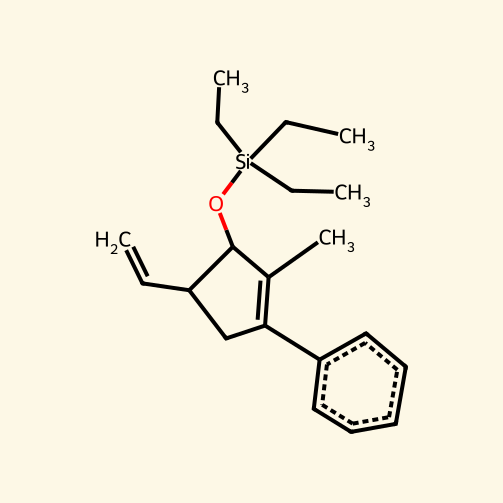 C=CC1CC(c2ccccc2)=C(C)C1O[Si](CC)(CC)CC